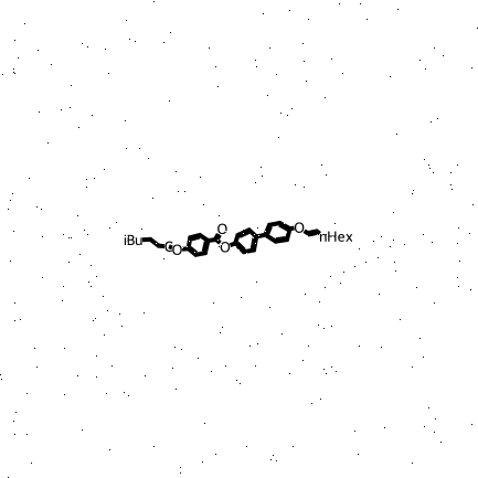 CCCCCCC=COc1ccc(-c2ccc(OC(=O)c3ccc(OCCCC(C)CC)cc3)cc2)cc1